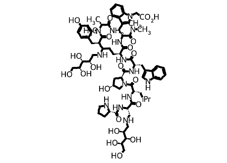 CC(C)C[C@H](NC(=O)[C@H](CNC[C@H](O)[C@@H](O)[C@H](O)CO)NC(=O)[C@@H]1CCCN1)C(=O)N1C[C@H](O)C[C@H]1C(=O)N[C@@H](Cc1c[nH]c2ccccc12)C(=O)N[C@@H](CCC(NC[C@H](O)[C@@H](O)[C@H](O)CO)[C@@H](Cc1ccc(O)cc1)C(=O)N(C)[C@@H](C)C(N)=O)C(=O)N[C@@H](Cc1cn(CC(=O)O)c2ccccc12)C(=O)N(C)C